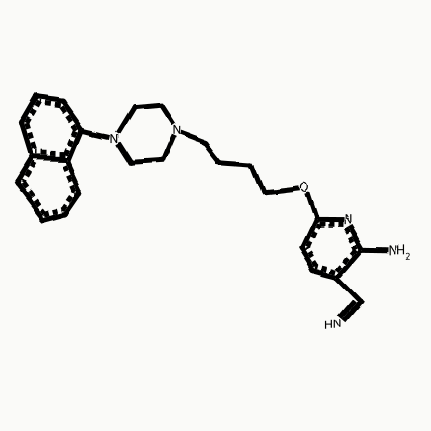 N=Cc1ccc(OCCCCN2CCN(c3cccc4ccccc34)CC2)nc1N